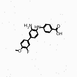 COc1ccc(-c2ccc(Nc3ccc(C(=O)O)cc3)c(N)c2)cc1F